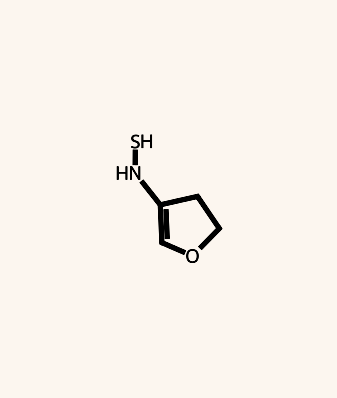 SNC1=COCC1